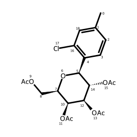 [CH2]c1ccc([C@@H]2O[C@H](COC(C)=O)[C@H](OC(C)=O)[C@H](OC(C)=O)[C@H]2OC(C)=O)c(Cl)c1